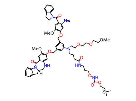 C=Nc1cc(OCc2cc(COc3cc4c(cc3OC)C(=O)N3c5ccccc5C[C@H]3CN4)cc(N(CCCC(=O)NCCCONC(=O)OCC[Si](C)(C)C)CCOCCOCCOC)c2)c(OC)cc1C(=O)N1c2ccccc2C[C@H]1C